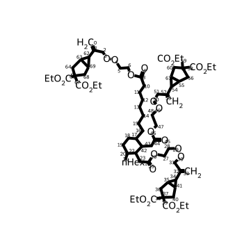 C=C(COOCCOC(=O)CCCCCCCC1CCC(CCCCCC)C(CC(=O)OCCOOCC(=C)C2C3CC(C(=O)OCC)(C(=O)OCC)CC32)C1CC(=O)OCCOOCC(=C)C1C2CC(C(=O)OCC)(C(=O)OCC)CC21)C1C2CC(C(=O)OCC)(C(=O)OCC)CC21